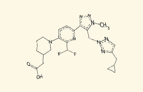 Cn1nnc(-c2ccc(N3CCCC(CC(=O)O)C3)c(C(F)F)n2)c1Cn1ncc(CC2CC2)n1